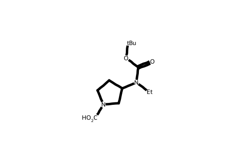 CCN(C(=O)OC(C)(C)C)C1CCN(C(=O)O)C1